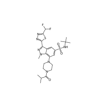 CC(C)C(=O)N1CCN(c2cc(S(=O)(=O)NC(C)(C)C)cc3c(-c4nnc(C(F)F)s4)nn(C)c23)CC1